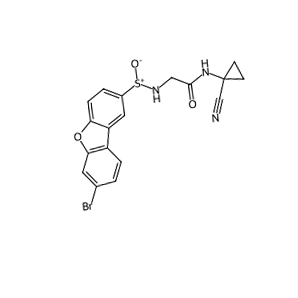 N#CC1(NC(=O)CN[S+]([O-])c2ccc3oc4cc(Br)ccc4c3c2)CC1